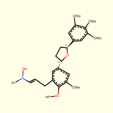 CCCOc1c(CC=CN(O)C(C)=O)cc([C@@H]2CC[C@@H](c3cc(OC)c(OC)c(OC)c3)O2)cc1OC